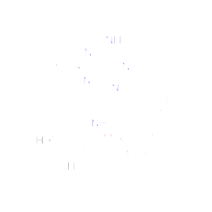 CC(C)CCNCCn1c(Cc2cc3c(cc2I)CCC3=O)nc2c(N)nc(F)nc21